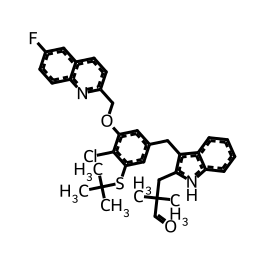 CC(C)(C=O)Cc1[nH]c2ccccc2c1Cc1cc(OCc2ccc3cc(F)ccc3n2)c(Cl)c(SC(C)(C)C)c1